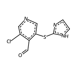 O=Cc1c(Cl)cncc1Sc1ncc[nH]1